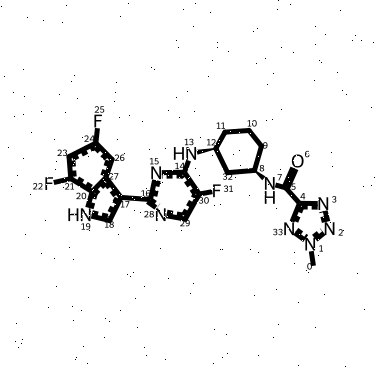 Cn1nnc(C(=O)N[C@@H]2CCC[C@H](Nc3nc(-c4c[nH]c5c(F)cc(F)cc45)ncc3F)C2)n1